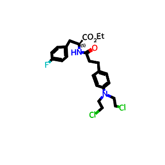 CCOC(=O)[C@H](Cc1ccc(F)cc1)NC(=O)CCc1ccc(N(CCCl)CCCl)cc1